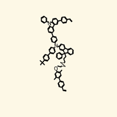 C=Cc1ccc(-c2ccc3c(c2)c2cc(-c4ccc(N(c5ccc(-c6ccc(C(C)(C)C)cc6)cc5)c5ccc6c(c5)C(CCCS(C)(C)CCOc5cc(C)c(-c7ccc(C=C)cc7)cc5C)(c5ccccc5)c5ccccc5-6)cc4)ccc2n3-c2ccccc2)cc1